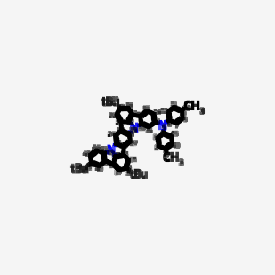 Cc1ccc(N(c2ccc(C)cc2)c2ccc3c4cc(C(C)(C)C)cc5c6cc7c(cc6n(c3c2)c45)c2cc(C(C)(C)C)cc3c4cc(C(C)(C)C)ccc4n7c32)cc1